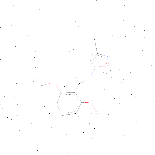 COc1cccc(OC)c1C(=O)Nc1cc(C)no1